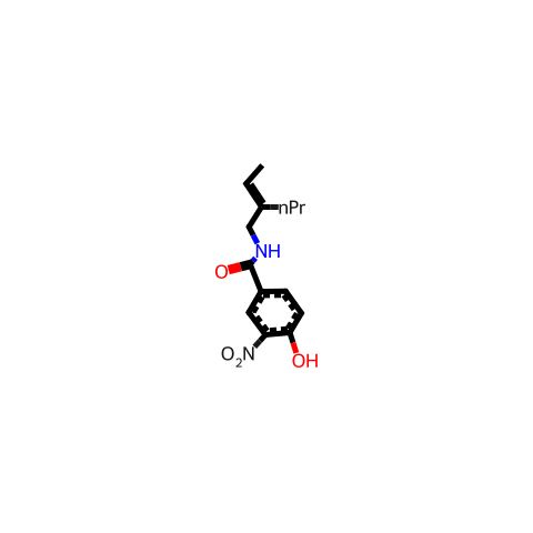 C/C=C(\CCC)CNC(=O)c1ccc(O)c([N+](=O)[O-])c1